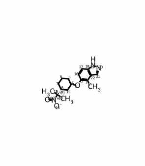 Cc1c(O[C@@H]2CCC[C@@H](C(C)(C)[N+](=O)[O-])C2)ccc2[nH]ncc12